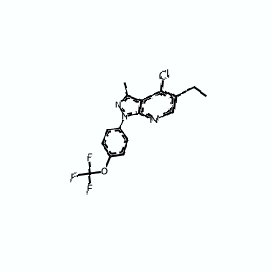 CCc1cnc2c(c(C)nn2-c2ccc(OC(F)(F)F)cc2)c1Cl